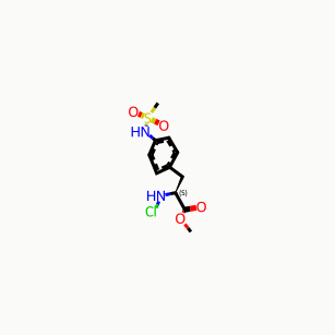 COC(=O)[C@H](Cc1ccc(NS(C)(=O)=O)cc1)NCl